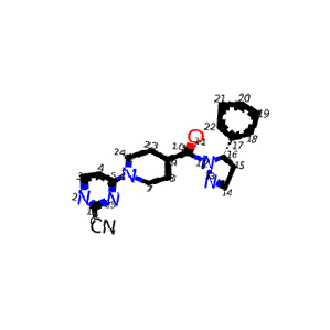 N#Cc1nccc(N2CCC(C(=O)N3N=CC[C@H]3c3ccccc3)CC2)n1